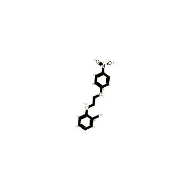 O=[N+]([O-])c1ccc(OCCOc2ccccc2I)cc1